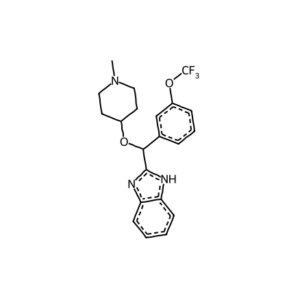 CN1CCC(OC(c2cccc(OC(F)(F)F)c2)c2nc3ccccc3[nH]2)CC1